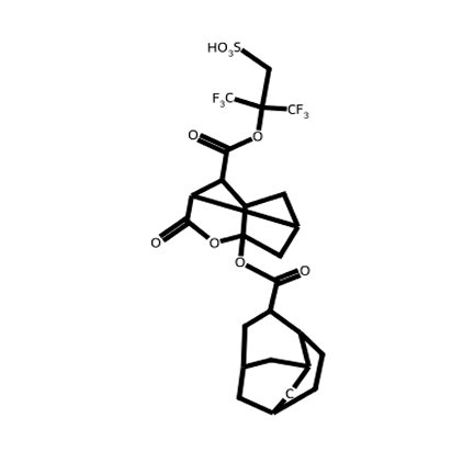 O=C(OC12CC3CC1C(C(=O)OC(CS(=O)(=O)O)(C(F)(F)F)C(F)(F)F)C3C(=O)O2)C1CC2CC3CCC1C(C3)C2